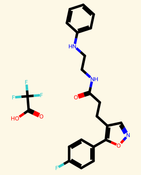 O=C(CCc1cnoc1-c1ccc(F)cc1)NCCNc1ccccc1.O=C(O)C(F)(F)F